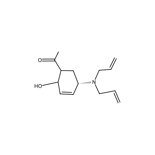 C=CCN(CC=C)[C@@H]1C=CC(O)C(C(C)=O)C1